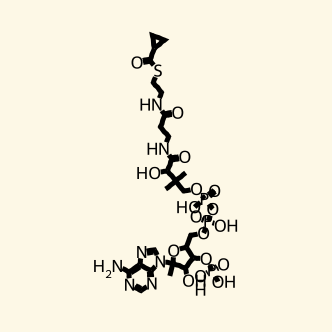 CC(C)(COP(=O)(O)OP(=O)(O)OCC1OC(C)(n2cnc3c(N)ncnc32)C(O)C1OP(=O)(O)O)C(O)C(=O)NCCC(=O)NCCSC(=O)C1CC1